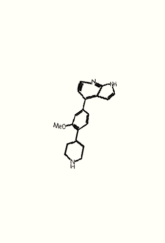 COc1cc(-c2ccnc3[nH]ccc23)ccc1C1CCNCC1